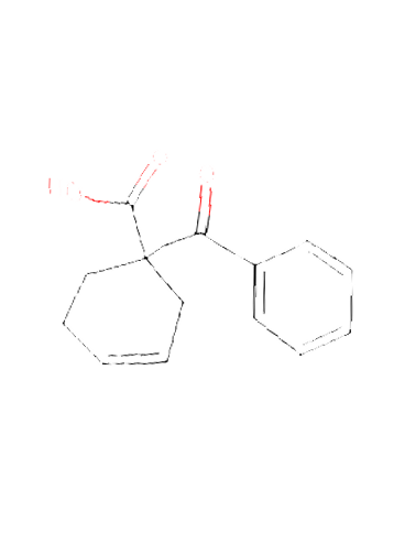 O=C(O)C1(C(=O)c2ccccc2)CC=CCC1